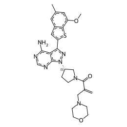 C=C(CN1CCOCC1)C(=O)N1CC[C@H](n2nc(-c3cc4cc(C)cc(OC)c4s3)c3c(N)ncnc32)C1